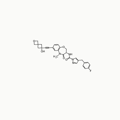 CN1C(=O)C(NC(=O)n2cc(Cc3ccc(F)cc3)cn2)COc2ccc(C#CC3(O)CC4(COC4)C3)cc21